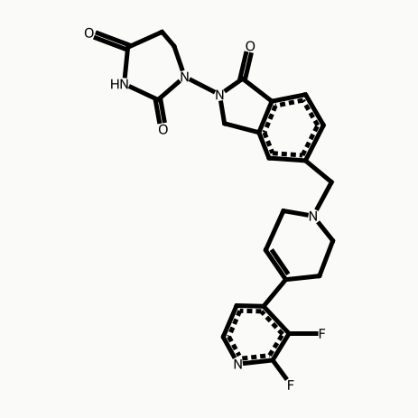 O=C1CCN(N2Cc3cc(CN4CC=C(c5ccnc(F)c5F)CC4)ccc3C2=O)C(=O)N1